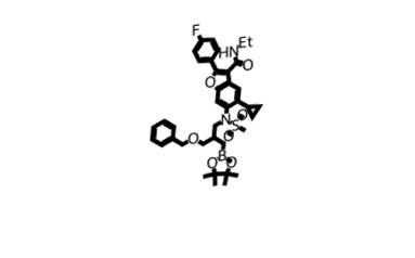 CCNC(=O)c1c(-c2ccc(F)cc2)oc2cc(N(CC(COCc3ccccc3)CB3OC(C)(C)C(C)(C)O3)S(C)(=O)=O)c(C3CC3)cc12